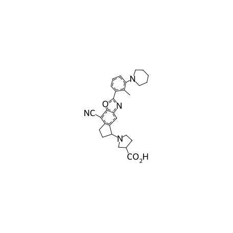 Cc1c(-c2nc3cc4c(c(C#N)c3o2)CCC4N2CCC(C(=O)O)C2)cccc1N1CCCCC1